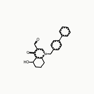 O=Cc1cn(Cc2ccc(-c3ccccc3)cc2)c2c(c1=O)C(O)CCC2